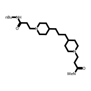 CCCCNC(=O)CCN1CCC(CCCC2CCN(CCC(=O)NC)CC2)CC1